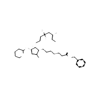 CC[C@H](C)CC(F)(F)CCC[C@H]1[C@H](OC2CCCCO2)CC(I)[C@@H]1CCCCCCC(=O)OCc1ccccc1